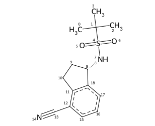 CC(C)(C)S(=O)(=O)N[C@H]1CCc2c(C#N)cccc21